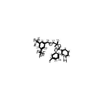 Cc1ccc([C@H]2NCCC[C@H]2C(=O)OC(C)(C)COCc2cc(C(F)(F)F)cc(C(F)(F)F)c2)cc1